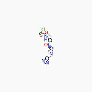 O=C(NC1CCc2ccc(C(=O)N3CCC4(CCN(Cc5ccc6nccnc6c5)CC4)C3)cc21)c1sccc1Cl